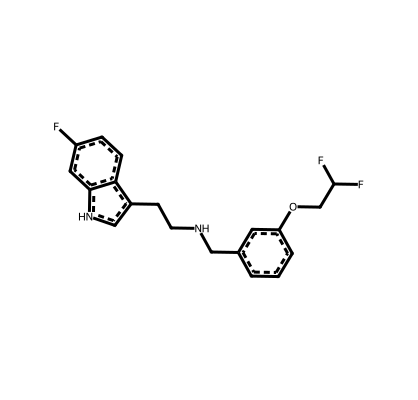 Fc1ccc2c(CCNCc3cccc(OCC(F)F)c3)c[nH]c2c1